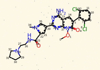 COn1c(=O)c(-c2c(Cl)cccc2Cl)cc2c(N)nc(-c3cc(C(=O)NCCN4CCCC4)n(C)c3)nc21